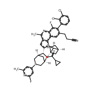 Cc1cc(N2C[C@@H]3C[C@H](C2)N(C(=O)C2CC2)[C@H]3c2cc3c(C)nc4c(F)c(-c5cccc(Cl)c5Cl)c(CCC#N)cc4c3n2[C@H]2[C@H]3CN[C@@H]2C3)cc(F)n1